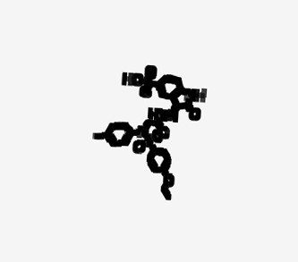 CCOc1ccc(S(=O)(=O)N(CC(=O)N/N=C2/C(=O)Nc3ccc(S(=O)(=O)O)cc32)c2ccc(C)cc2)cc1